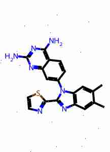 Cc1cc2nc(-c3nccs3)n(-c3ccc4c(N)nc(N)nc4c3)c2cc1C